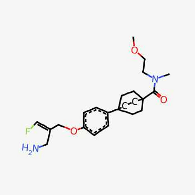 COCCN(C)C(=O)C12CCC(c3ccc(OC/C(=C/F)CN)cc3)(CC1)CC2